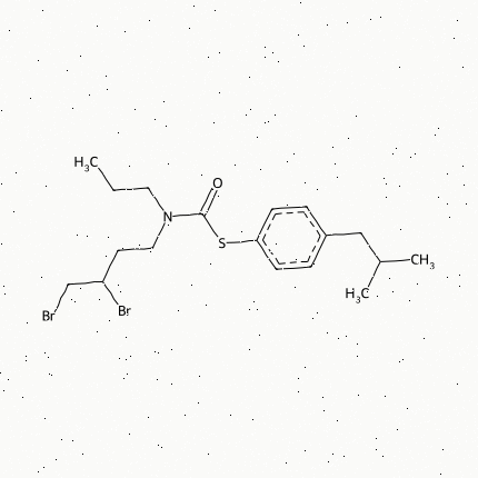 CCCN(CCC(Br)CBr)C(=O)Sc1ccc(CC(C)C)cc1